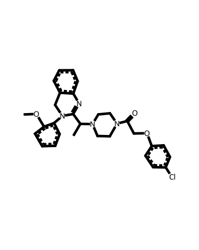 COc1ccccc1N1Cc2ccccc2N=C1C(C)N1CCN(C(=O)COc2ccc(Cl)cc2)CC1